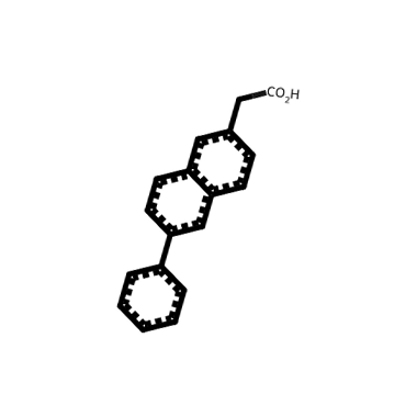 O=C(O)Cc1ccc2cc(-c3ccccc3)ccc2c1